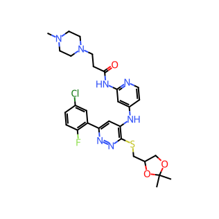 CN1CCN(CCC(=O)Nc2cc(Nc3cc(-c4cc(Cl)ccc4F)nnc3SCC3COC(C)(C)O3)ccn2)CC1